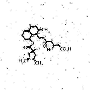 C=CCC(CC)(CC=C)C(=O)OC1CCC=C2C=CC(C)C(CCC(O)CC(O)CC(=O)O)C21